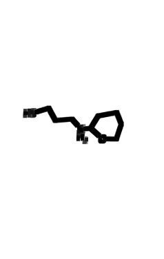 SCCC[SiH2]C1CCCCO1